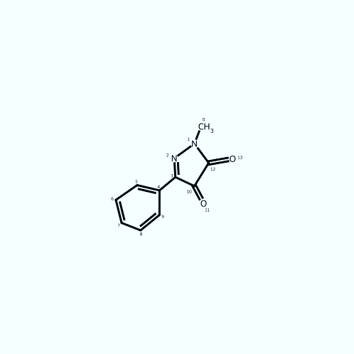 CN1N=C(c2ccccc2)C(=O)C1=O